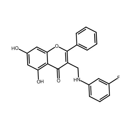 O=c1c(CNc2cccc(F)c2)c(-c2ccccc2)oc2cc(O)cc(O)c12